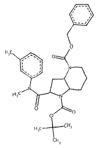 Cc1cccc(N(C)C(=O)C2CC3C(CCCN3C(=O)OCc3ccccc3)N2C(=O)OC(C)(C)C)c1